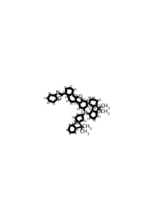 CC1(C)c2ccccc2-c2ccc(N(c3ccc4oc5c6cccc(-c7nc8ccccc8o7)c6ccc5c4c3)c3cccc4c3-c3ccccc3C4(C)C)cc21